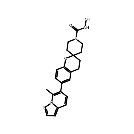 Cc1c(-c2ccc3c(c2)CCC2(CCN(C(=O)NO)CC2)O3)ccc2ccnn12